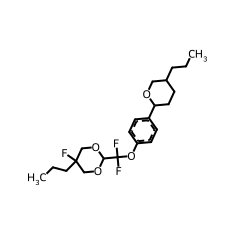 CCCC1CCC(c2ccc(OC(F)(F)C3OCC(F)(CCC)CO3)cc2)OC1